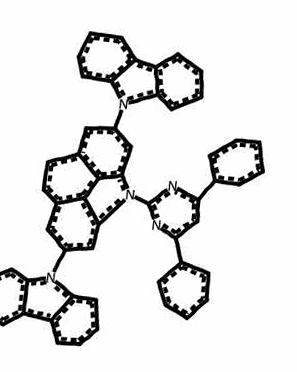 c1ccc(-c2cc(-c3ccccc3)nc(-n3c4cc(-n5c6ccccc6c6ccccc65)cc5ccc6cc(-n7c8ccccc8c8ccccc87)cc3c6c54)n2)cc1